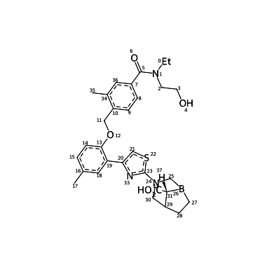 CCN(CCO)C(=O)c1ccc(COc2ccc(C)cc2-c2csc(N3CB4CCC(C3)[C@@H]4C(=O)O)n2)c(C)c1